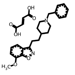 COc1cccc2c(CCC3CCN(Cc4ccccc4)CC3)noc12.O=C(O)C=CC(=O)O